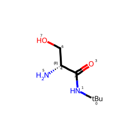 CC(C)(C)NC(=O)[C@H](N)CO